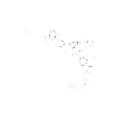 COCCNc1ccnc(-n2cc(-c3cnc(C(=O)Nc4ccc(C(=O)N5CCN(C(=O)C6CCNCC6)CC5)c(Cl)c4)n3C)c(C(F)(F)F)n2)n1.O=C(O)C(F)(F)F